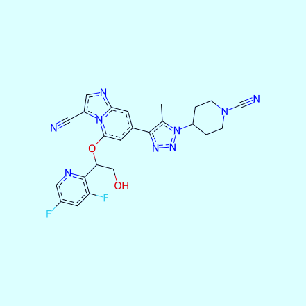 Cc1c(-c2cc(OC(CO)c3ncc(F)cc3F)n3c(C#N)cnc3c2)nnn1C1CCN(C#N)CC1